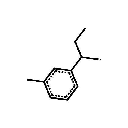 [CH2]C(CC)c1cccc(C)c1